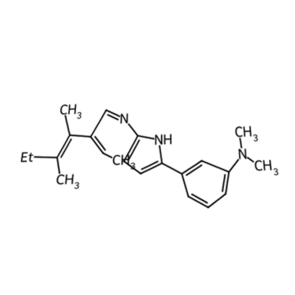 C/C=C(\C=N/c1ccc(-c2cccc(N(C)C)c2)[nH]1)C(/C)=C(\C)CC